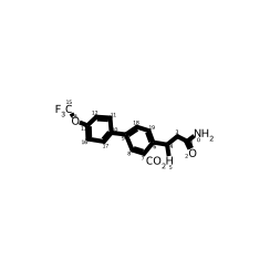 NC(=O)CC(C(=O)O)c1ccc(-c2ccc(OC(F)(F)F)cc2)cc1